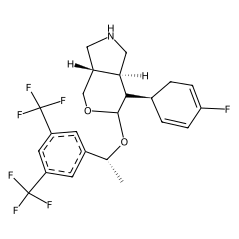 C[C@@H](OC1OC[C@@H]2CNC[C@H]2C1[C@@H]1C=CC(F)=CC1)c1cc(C(F)(F)F)cc(C(F)(F)F)c1